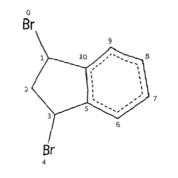 BrC1CC(Br)c2ccccc21